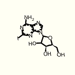 Nc1nc(I)nc2c1ncn2[C@H]1O[C@@H](CO)[C@@H](O)C1O